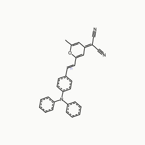 CC1=CC(=C(C#N)C#N)C=C(/C=C/c2ccc(N(c3ccccc3)c3ccccc3)cc2)O1